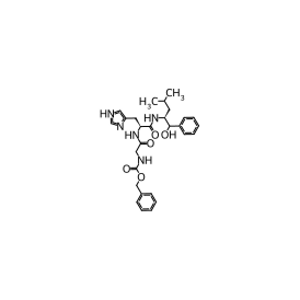 CC(C)C[C@H](NC(=O)[C@H](Cc1c[nH]cn1)NC(=O)CNC(=O)OCc1ccccc1)C(O)c1ccccc1